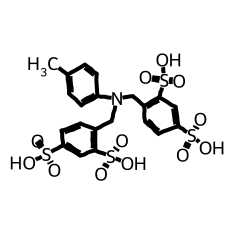 Cc1ccc(N(Cc2ccc(S(=O)(=O)O)cc2S(=O)(=O)O)Cc2ccc(S(=O)(=O)O)cc2S(=O)(=O)O)cc1